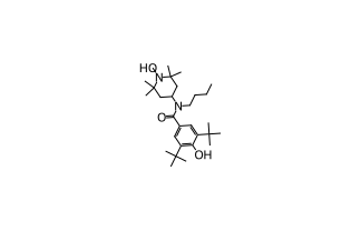 CCCCN(C(=O)c1cc(C(C)(C)C)c(O)c(C(C)(C)C)c1)C1CC(C)(C)N(O)C(C)(C)C1